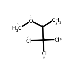 COC(C)C(Cl)(Cl)Cl